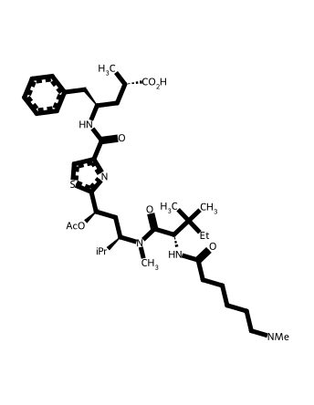 CCC(C)(C)[C@H](NC(=O)CCCCCNC)C(=O)N(C)[C@H](C[C@@H](OC(C)=O)c1nc(C(=O)N[C@@H](Cc2ccccc2)C[C@H](C)C(=O)O)cs1)C(C)C